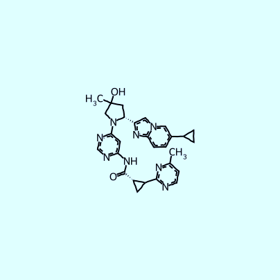 Cc1ccnc(C2C[C@@H]2C(=O)Nc2cc(N3CC(C)(O)C[C@@H]3c3cn4cc(C5CC5)ccc4n3)ncn2)n1